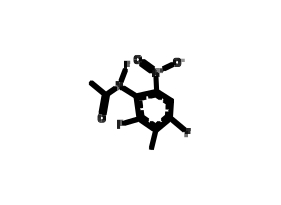 CC(=O)N(F)c1c([N+](=O)[O-])cc(F)c(C)c1F